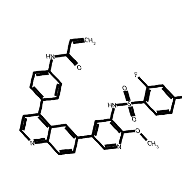 C=CC(=O)Nc1ccc(-c2ccnc3ccc(-c4cnc(OC)c(NS(=O)(=O)c5ccc(F)cc5F)c4)cc23)cc1